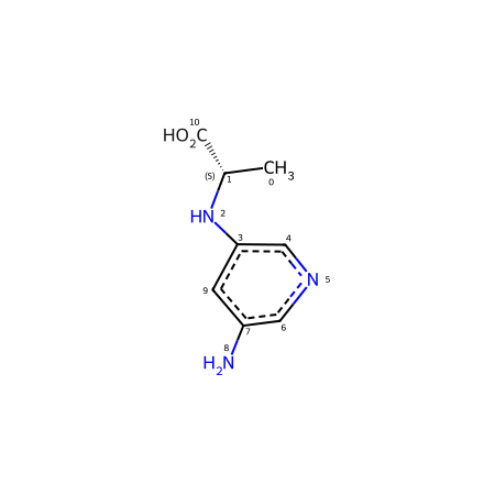 C[C@H](Nc1cncc(N)c1)C(=O)O